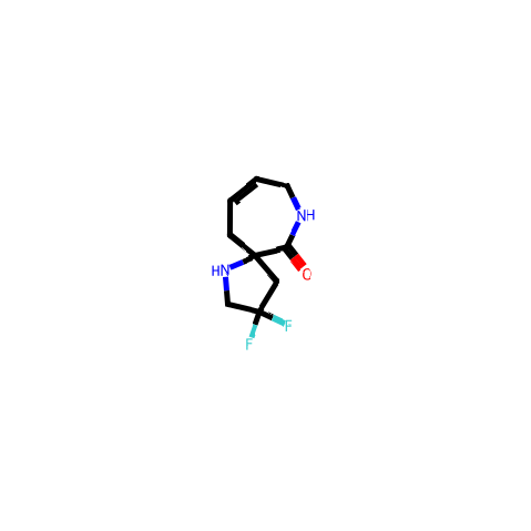 O=C1NCC=CCC12CC(F)(F)CN2